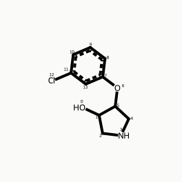 OC1CNCC1Oc1cccc(Cl)c1